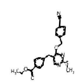 CCOC(=O)c1ccc(Cc2cnc(SC)nc2OCc2ccc(C#N)cc2)cc1